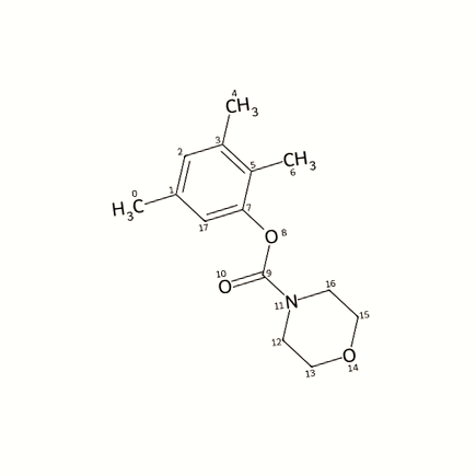 Cc1cc(C)c(C)c(OC(=O)N2CCOCC2)c1